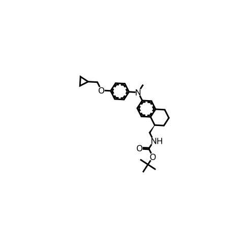 CN(c1ccc(OCC2CC2)cc1)c1ccc2c(c1)CCC[C@H]2CNC(=O)OC(C)(C)C